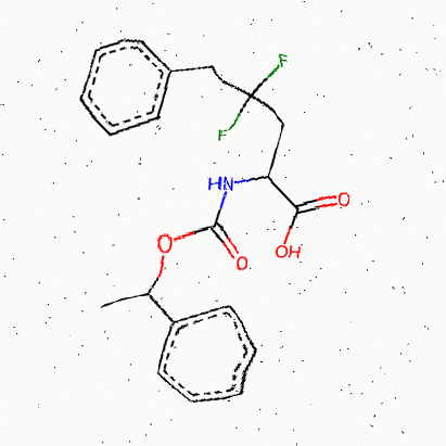 CC(OC(=O)NC(CC(F)(F)Cc1ccccc1)C(=O)O)c1ccccc1